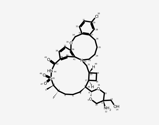 C[C@@H]1[C@@H](C)CCC[C@H]([C@H]2OC[C@@](N)(CO)CO2)[C@@H]2CC[C@H]2CN2CCCCc3cc(Cl)ccc3COc3ccc(cc32)C(=O)NS1(=O)=O